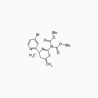 C=C1C[C@@](C)(c2cc(Br)ccn2)N=C(N(C(=O)OC(C)(C)C)C(=O)OC(C)(C)C)S1